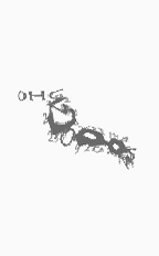 O=CCCN1CCC(Oc2ccc(-c3ccc4scnc4c3)cc2)CC1